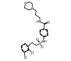 O=C(NCCCN1CCOCC1)c1ccc(NS(=O)(=O)CCc2cccc(Cl)c2Cl)cc1